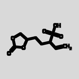 C=CC(CCC1COC(=O)O1)S(=O)(=O)O